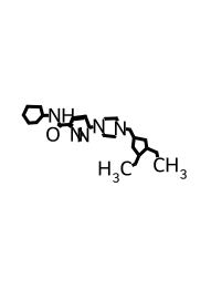 CCC1CC(CN2CCN(c3ccc(C(=O)NC4CCCCC4)nn3)CC2)CC1CC